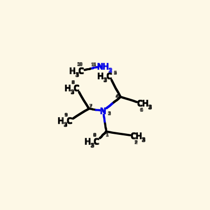 CC(C)N(C(C)C)C(C)C.CN